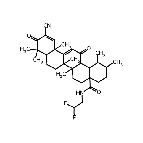 CC1CCC2(C(=O)NCC(F)F)CCC3(C)C(C(=O)C=C4C5(C)C=C(C#N)C(=O)C(C)(C)C5CCC43C)C2C1C